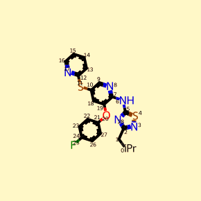 CC(C)Cc1nsc(Nc2ncc(Sc3ccccn3)cc2Oc2ccc(F)cc2)n1